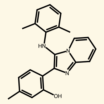 Cc1ccc(-c2nc3ccccn3c2Nc2c(C)cccc2C)c(O)c1